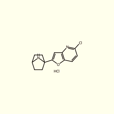 Cl.Clc1ccc2oc(C34CCC(CC3)N4)cc2n1